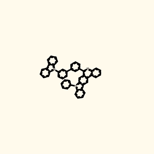 c1ccc(-n2c3ccccc3c3cc4c(cc32)c(-c2cccc(-c3cccc(-n5c6ccccc6c6ccccc65)c3)c2)nc2ccccc24)cc1